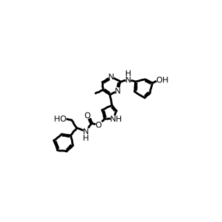 Cc1cnc(Nc2cccc(O)c2)nc1-c1c[nH]c(OC(=O)NC(CO)c2ccccc2)c1